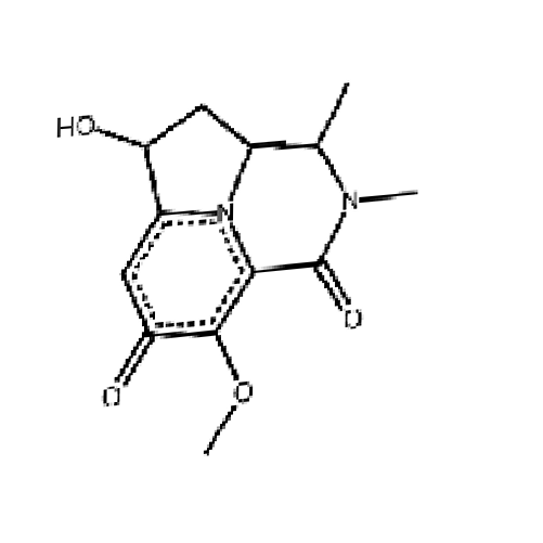 COc1c2n3c(cc1=O)C(O)CC3(C)C(C)N(C)C2=O